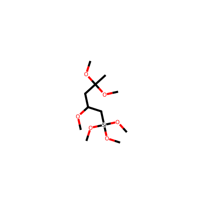 COC(CC(C)(OC)OC)C[Si](OC)(OC)OC